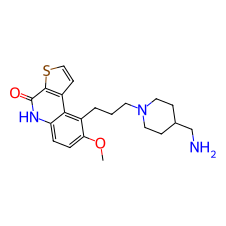 COc1ccc2[nH]c(=O)c3sccc3c2c1CCCN1CCC(CN)CC1